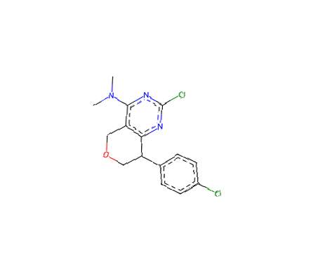 CN(C)c1nc(Cl)nc2c1COCC2c1ccc(Cl)cc1